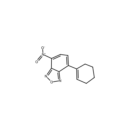 O=[N+]([O-])c1ccc(C2=CCCCC2)c2nonc12